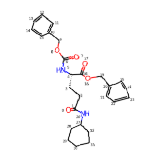 O=C(CC[C@H](NC(=O)OCc1ccccc1)C(=O)OCc1ccccc1)NC1CCCCC1